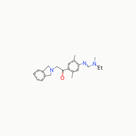 CCN(C)C=Nc1cc(C)c(C(=O)CN2Cc3ccccc3C2)cc1C